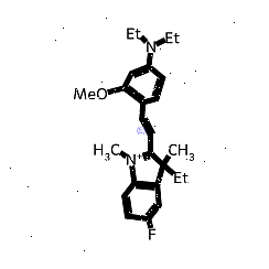 CCN(CC)c1ccc(/C=C/C2=[N+](C)c3ccc(F)cc3C2(C)CC)c(OC)c1